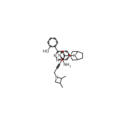 CC1CN(CC#Cc2cc(N3C4CCC3CN(c3cc(-c5ccccc5O)nnc3N)C4)ccn2)C1C